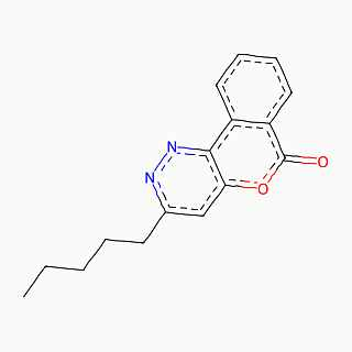 CCCCCc1cc2oc(=O)c3ccccc3c2nn1